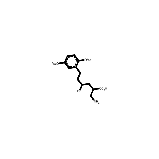 CCC(CCc1cc(OC)ccc1OC)CC(CN)C(=O)O